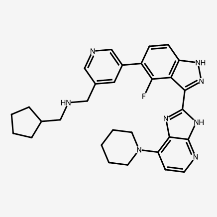 Fc1c(-c2cncc(CNCC3CCCC3)c2)ccc2[nH]nc(-c3nc4c(N5CCCCC5)ccnc4[nH]3)c12